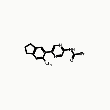 CC(C)C(=O)Nc1cnc(-c2cc3c(cc2C(F)(F)F)CCC3)cn1